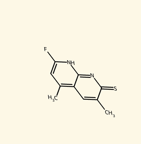 Cc1cc(F)[nH]c2nc(=S)c(C)cc1-2